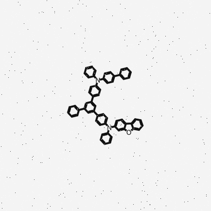 c1ccc(-c2ccc(N(c3ccccc3)c3ccc(-c4cc(-c5ccccc5)cc(-c5ccc(N(c6ccccc6)c6ccc7c(c6)oc6ccccc67)cc5)c4)cc3)cc2)cc1